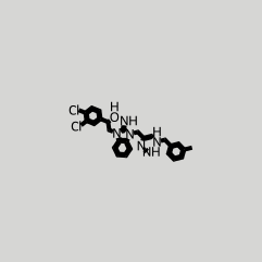 Cc1cccc(CN/C=C(/Cn2c(=N)n(CC(O)c3ccc(Cl)c(Cl)c3)c3ccccc32)N=N)c1